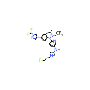 C[C@@H]1Cc2cc(-c3cnn(C(F)F)c3)ccc2[C@H](c2ccc(NC3CN(CCCF)C3)cn2)N1CC(F)(F)F